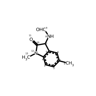 Cc1ccc2c(c1)C(NC=O)C(=O)N2C